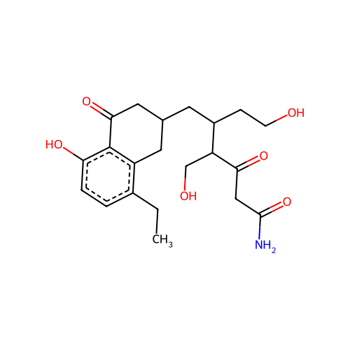 CCc1ccc(O)c2c1CC(CC(CCO)C(CO)C(=O)CC(N)=O)CC2=O